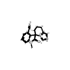 COC(=O)C1(c2ccccc2C#N)CCCc2cncn21